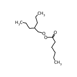 CCCCCC(=O)OOCC(CCC)CCC